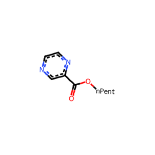 CCCCCOC(=O)c1cnccn1